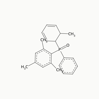 Cc1cc(C)c(P(=O)(c2ccccc2)C2C=CC=CC2C)c(C)c1